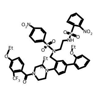 CCOc1ccc(C(=O)N2CCN(c3ccc(-c4ccccc4OCC)cc3CN(CCNS(=O)(=O)c3ccccc3[N+](=O)[O-])S(=O)(=O)c3ccc([N+](=O)[O-])cc3)[C@H](CC)C2)c(C(F)(F)F)c1